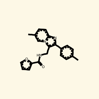 Cc1ccc(-c2nc3ccc(C)cn3c2CNC(=O)c2ccco2)cc1